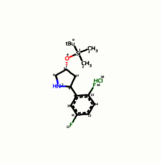 CC(C)(C)[Si](C)(C)O[C@H]1CNC(c2cc(F)ccc2F)C1.Cl